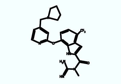 CN(C(=N)N)C(=O)c1cc2c(C(F)(F)F)ccc(Oc3cc(CN4CCCC4)ccn3)c2[nH]1